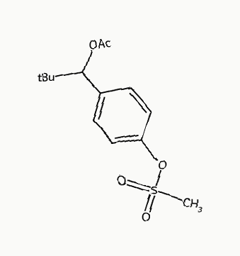 CC(=O)OC(c1ccc(OS(C)(=O)=O)cc1)C(C)(C)C